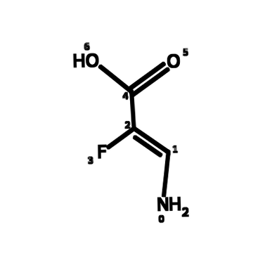 NC=C(F)C(=O)O